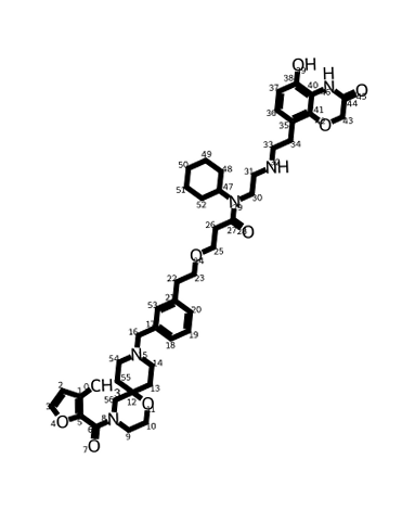 Cc1ccoc1C(=O)N1CCOC2(CCN(Cc3cccc(CCOCCC(=O)N(CCNCCc4ccc(O)c5c4OCC(=O)N5)C4CCCCC4)c3)CC2)C1